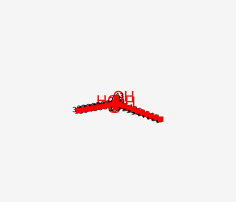 CCCCCCCCCCCC=CC=CC=CC=CC(=O)C(O)(C(=O)C=CCCCCCCCCCCCCC)[C@@H](O)CO